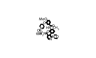 COc1ccc(C(=O)Nc2cc(-c3c(C(N)=O)ccnc3N3CCOCC3)ccc2C)cc1OC1CCN(C(=O)OC(C)(C)C)CC1